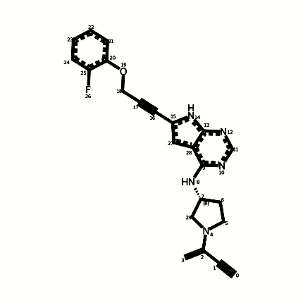 C#CC(=C)N1CC[C@@H](Nc2ncnc3[nH]c(C#CCOc4ccccc4F)cc23)C1